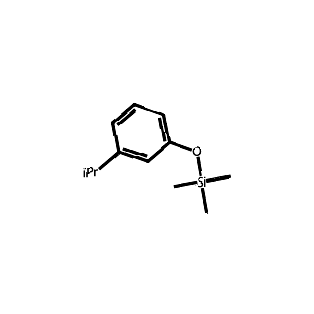 CC(C)c1cccc(O[Si](C)(C)C)c1